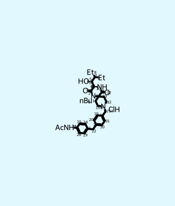 CCCCN1C(=O)[C@@H]([C@H](O)C(CC)CC)NC(=O)C12CCN(Cc1ccc(Cc3ccc(NC(C)=O)cc3)cc1)CC2.Cl